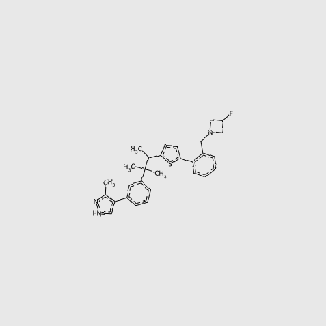 Cc1n[nH]cc1-c1cccc(C(C)(C)C(C)c2ccc(-c3ccccc3CN3CC(F)C3)s2)c1